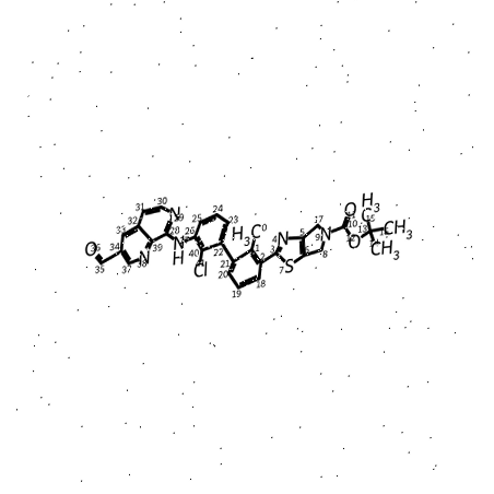 Cc1c(-c2nc3c(s2)CN(C(=O)OC(C)(C)C)C3)cccc1-c1cccc(Nc2nccc3cc(C=O)cnc23)c1Cl